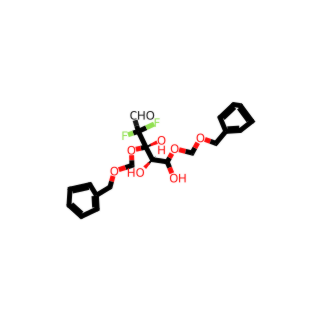 O=CC(F)(F)[C@@](O)(OCOCc1ccccc1)[C@H](O)C(O)OCOCc1ccccc1